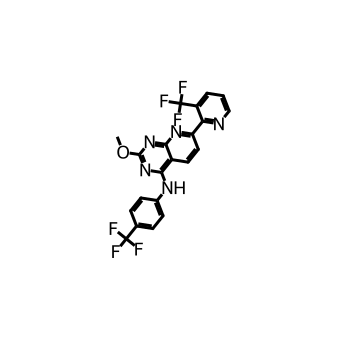 COc1nc(Nc2ccc(C(F)(F)F)cc2)c2ccc(-c3ncccc3C(F)(F)F)nc2n1